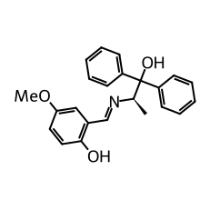 COc1ccc(O)c(C=N[C@H](C)C(O)(c2ccccc2)c2ccccc2)c1